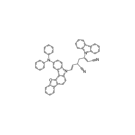 N#C/C=C(/CC(C#N)/C=C/n1c2ccc(N(c3ccccc3)c3ccccc3)cc2c2c3oc4ccccc4c3ccc21)n1c2ccccc2c2ccccc21